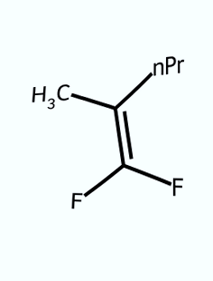 CCCC(C)=C(F)F